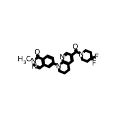 Cn1ncc2cc(N3CCCc4cc(C(=O)N5CCC(F)(F)CC5)cnc43)ccc2c1=O